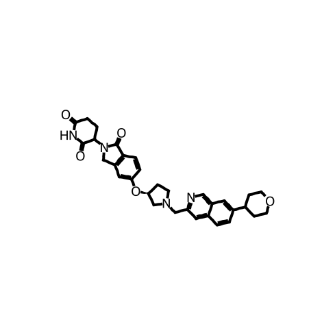 O=C1CCC(N2Cc3cc(O[C@H]4CCN(Cc5cc6ccc(C7CCOCC7)cc6cn5)C4)ccc3C2=O)C(=O)N1